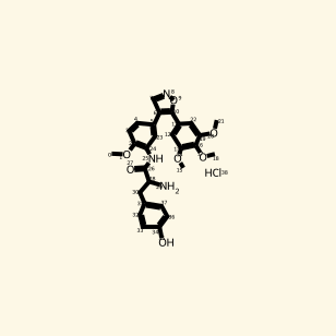 COc1ccc(-c2cnoc2-c2cc(OC)c(OC)c(OC)c2)cc1NC(=O)C(N)Cc1ccc(O)cc1.Cl